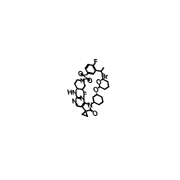 CC(Br)c1cc(S(=O)(=O)N2CC[C@H](Nc3ncc4c(n3)N([C@@H]3CCC[C@@H](OC5CCCCO5)C3)C(=O)C43CC3)[C@H](F)C2)ccc1F